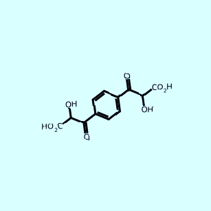 O=C(O)C(O)C(=O)c1ccc(C(=O)C(O)C(=O)O)cc1